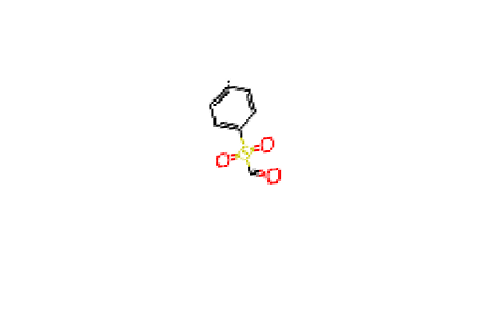 O=CS(=O)(=O)c1cc[c]cc1